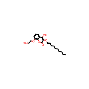 CCCCCCCC/C=C/Oc1c(O)c2cccc(OCCO)c2oc1=O